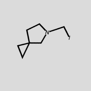 ICN1CCC2(CC2)C1